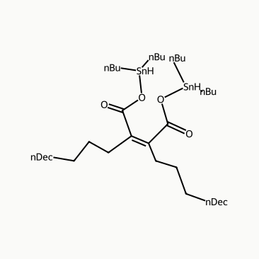 CCCCCCCCCCCCC/C(C(=O)[O][SnH]([CH2]CCC)[CH2]CCC)=C(\CCCCCCCCCCCCC)C(=O)[O][SnH]([CH2]CCC)[CH2]CCC